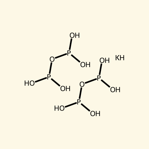 OP(O)OP(O)O.OP(O)OP(O)O.[KH]